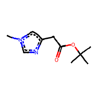 Cn1cnc(CC(=O)OC(C)(C)C)c1